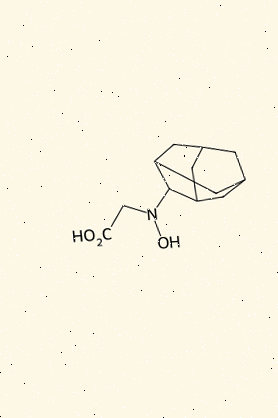 O=C(O)CN(O)C1C2CC3CC(C2)CC1C3